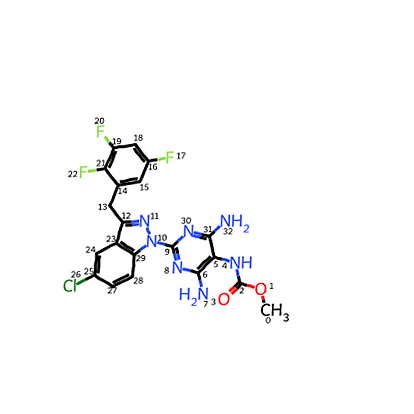 COC(=O)Nc1c(N)nc(-n2nc(Cc3cc(F)cc(F)c3F)c3cc(Cl)ccc32)nc1N